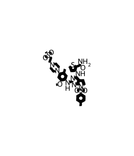 COc1cc(N2CCN(CCS(C)(=O)=O)CC2)c(C)cc1Nc1nc(Nc2ccsc2C(N)=O)c2ccn(S(=O)(=O)c3ccc(C)cc3)c2n1